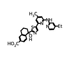 CCc1ccnc(Nc2cc(C)cc(-c3cnc([C@]4(O)CCCc5cc(C(=O)O)ccc54)s3)n2)c1